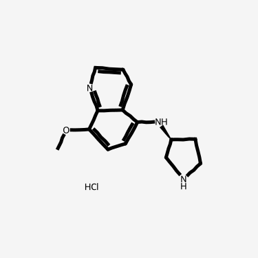 COc1ccc(N[C@H]2CCNC2)c2cccnc12.Cl